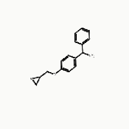 NC(c1ccccc1)c1ccc(OCC2CO2)cc1